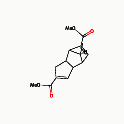 COC(=O)C1=CC2C(C1)C1C(C(=O)OC)=CC2[C@@H]1C